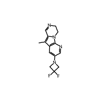 Cc1c2n(c3ncc(N4CC(F)(F)C4)cc13)CCN=C2